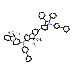 CC1(C)c2ccccc2-c2ccc(N(c3ccc(-c4ccccc4)cc3)c3ccc4c(c3)C(C)(C)c3cc(-c5ccc6c(c5)c(-c5ccccc5)c(-c5ccccc5)n6-c5ccc(-c6ccccc6)cc5)ccc3-4)cc21